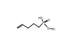 C=CCCCP(=O)(O)OCC